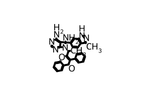 Cc1n[nH]c2cc([C@@]3(N)c4c(N)ncnc4N3C(C)c3oc4ccccc4c(=O)c3-c3ccccc3)ccc12